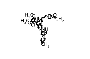 C=CC(=O)N1CCN(CCCc2cn3c(n2)c(-c2c(Cl)c(OC)cc(OC)c2Cl)cc2cnc(Nc4ccc(N5CCN(C)CC5)cn4)cc23)CC1